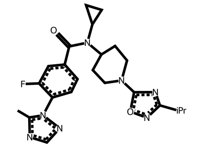 Cc1ncnn1-c1ccc(C(=O)N(C2CC2)C2CCN(c3nc(C(C)C)no3)CC2)cc1F